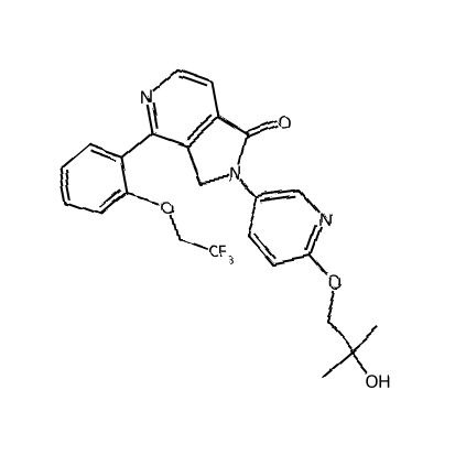 CC(C)(O)COc1ccc(N2Cc3c(ccnc3-c3ccccc3OCC(F)(F)F)C2=O)cn1